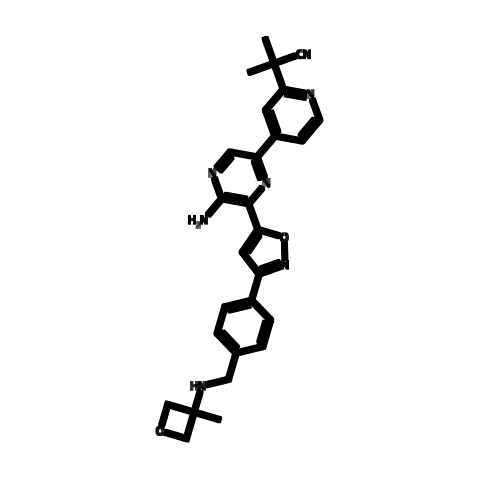 CC1(NCc2ccc(-c3cc(-c4nc(-c5ccnc(C(C)(C)C#N)c5)cnc4N)on3)cc2)COC1